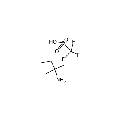 CCC(C)(C)N.O=S(=O)(O)C(F)(F)F